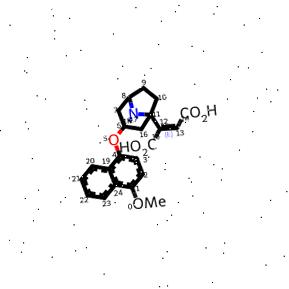 COc1ccc(OC2CC3CCC(/C(=C\C(=O)O)C(=O)O)(C2)N3C)c2ccccc12